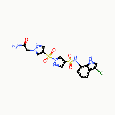 NC(=O)Cn1cc(S(=O)(=O)n2cc(S(=O)(=O)Nc3cccc4c(Cl)c[nH]c34)cn2)cn1